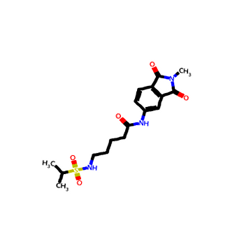 CC(C)S(=O)(=O)NCCCCC(=O)Nc1ccc2c(c1)C(=O)N(C)C2=O